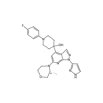 C[C@@H]1COCCN1c1cc(C2(O)CCN(c3ccc(F)cc3)CC2)c2cnn(-c3cc[nH]n3)c2n1